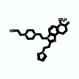 CC1CCc2c(ccc3c2nc(CCn2cccn2)n3CCN2CCN(CCO)CC2)N1C(=O)O